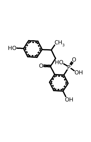 CC(CC(=O)c1ccc(O)cc1P(=O)(O)O)c1ccc(O)cc1